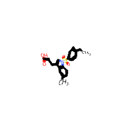 CCc1ccc(S(=O)(=O)n2cc(CCC(=O)O)c3cc(C)ccc32)cc1